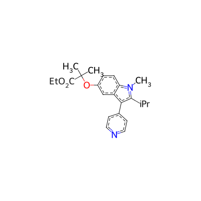 CCOC(=O)C(C)(C)Oc1ccc2c(c1)c(-c1ccncc1)c(C(C)C)n2C